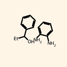 CCC(O)c1ccccc1.Nc1ccccc1N